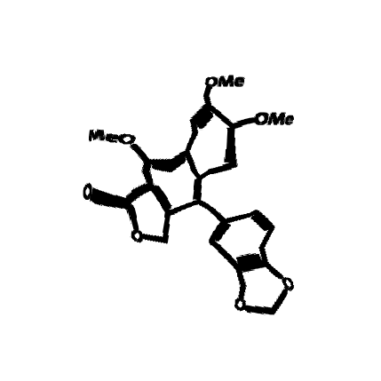 COc1cc2c(OC)c3c(c(-c4ccc5c(c4)OCO5)c2cc1OC)COC3=O